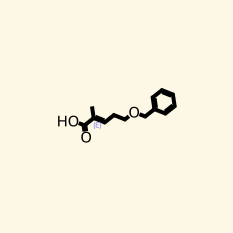 C/C(=C\CCOCc1ccccc1)C(=O)O